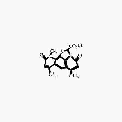 CCOC(=O)C1Oc2c3c(cc4c(C)cc(=O)n1c24)c(C)cc(=O)n3C